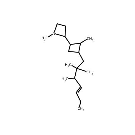 CC/C=C/C(C)C(C)(C)CC1CC(C2CCN2C)C1C